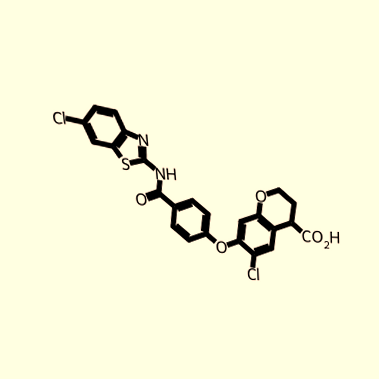 O=C(Nc1nc2ccc(Cl)cc2s1)c1ccc(Oc2cc3c(cc2Cl)C(C(=O)O)CCO3)cc1